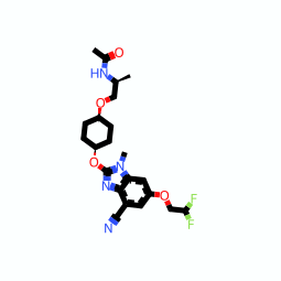 CC(=O)N[C@@H](C)CO[C@H]1CC[C@H](Oc2nc3c(C#N)cc(OCC(F)F)cc3n2C)CC1